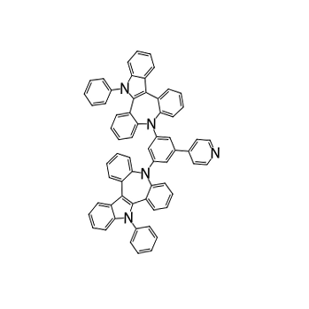 c1ccc(-n2c3c(c4ccccc42)-c2ccccc2N(c2cc(-c4ccncc4)cc(N4c5ccccc5-c5c(n(-c6ccccc6)c6ccccc56)-c5ccccc54)c2)c2ccccc2-3)cc1